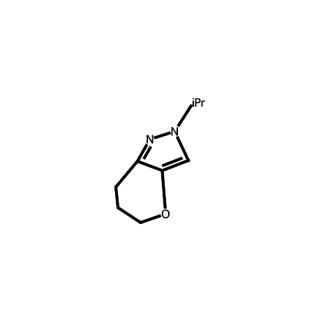 CC(C)n1cc2c(n1)CCCO2